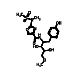 COCC(O)C(O)C(Cc1ccc(O)cc1)NC(=O)c1coc(N(C)S(C)(=O)=O)n1